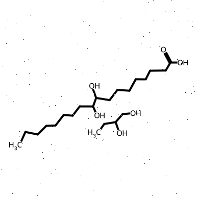 CCC(O)CO.CCCCCCCCC(O)C(O)CCCCCCCC(=O)O